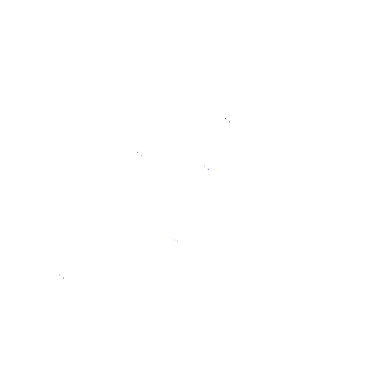 CN(C)CCCOc1nc2ccc(CI)cc2c(N2CCN(C(=O)c3ccc(F)cc3)CC2)c1C#N